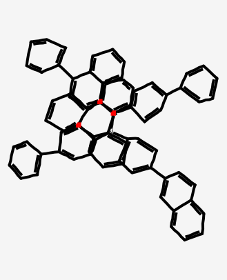 c1ccc(-c2ccc(N(c3ccc(-c4ccc5ccccc5c4)cc3)c3ccccc3-c3ccccc3-c3ccccc3N(c3ccc(-c4ccccc4)cc3)c3ccc(-c4ccccc4)c4ccccc34)cc2)cc1